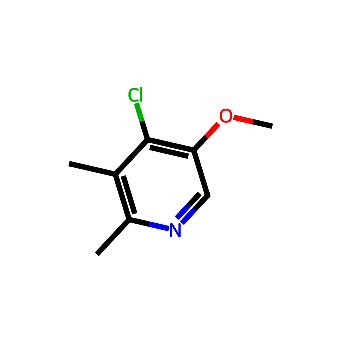 COc1cnc(C)c(C)c1Cl